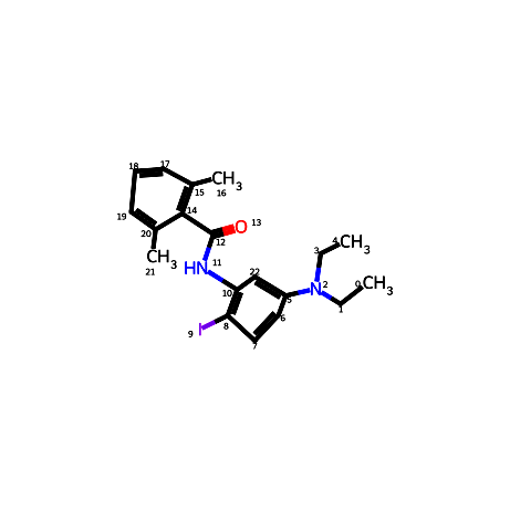 CCN(CC)c1ccc(I)c(NC(=O)c2c(C)cccc2C)c1